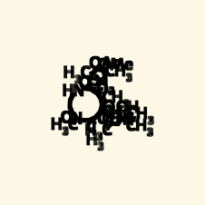 CO[C@]1(C)C[C@H](O[C@H]2[C@H](C)[C@@H](O[C@@H]3O[C@H](C)C[C@H](N(C)C)[C@H]3O)[C@](C)(O)C[C@@H](C)CN(C)C(=O)CCCNC(=O)[C@@H]2C)O[C@@H](C)[C@@H]1OC(C)=O